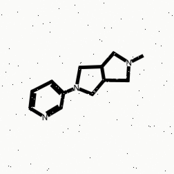 CN1CC2CN(c3cccnc3)CC2C1